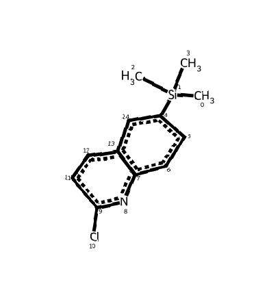 C[Si](C)(C)c1ccc2nc(Cl)ccc2c1